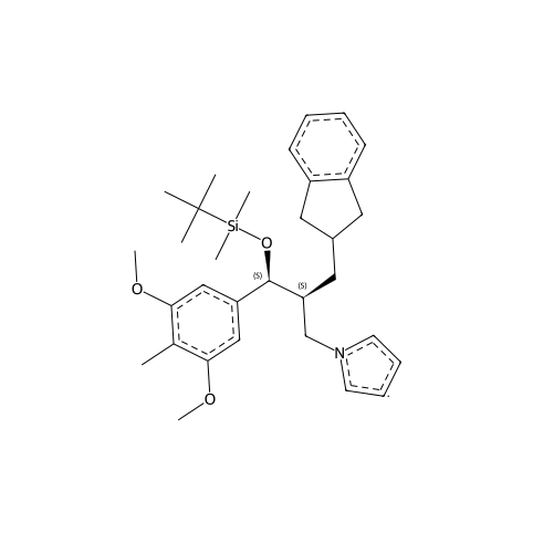 COc1cc([C@@H](O[Si](C)(C)C(C)(C)C)[C@@H](CC2Cc3ccccc3C2)Cn2c[c]cc2)cc(OC)c1C